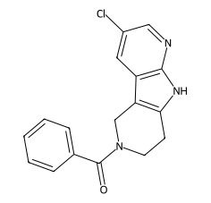 O=C(c1ccccc1)N1CCc2[nH]c3ncc(Cl)cc3c2C1